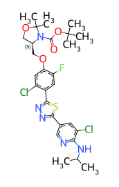 CC(C)Nc1ncc(-c2nnc(-c3cc(F)c(OC[C@H]4COC(C)(C)N4C(=O)OC(C)(C)C)cc3Cl)s2)cc1Cl